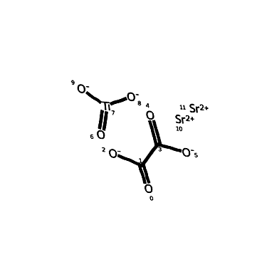 O=C([O-])C(=O)[O-].[O]=[Ti]([O-])[O-].[Sr+2].[Sr+2]